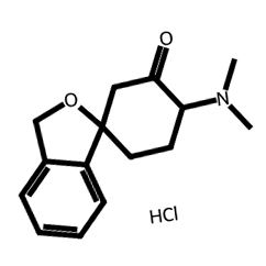 CN(C)C1CCC2(CC1=O)OCc1ccccc12.Cl